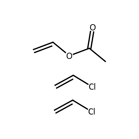 C=CCl.C=CCl.C=COC(C)=O